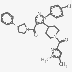 Cc1cc(C(=O)N2CCC(c3c(C(=O)N4CC[C@H](c5ccccc5)C4)cnn3-c3ccc(Cl)cc3)CC2)nn1C